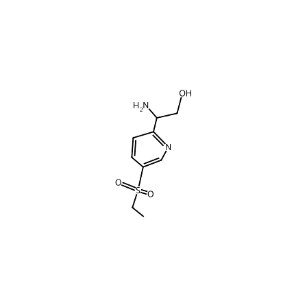 CCS(=O)(=O)c1ccc(C(N)CO)nc1